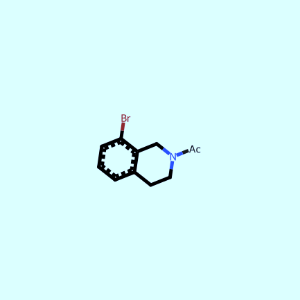 CC(=O)N1CCc2cccc(Br)c2C1